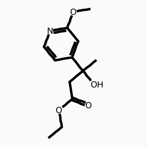 CCOC(=O)CC(C)(O)c1ccnc(OC)c1